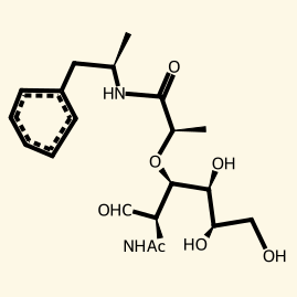 CC(=O)N[C@@H](C=O)[C@@H](O[C@H](C)C(=O)N[C@H](C)Cc1ccccc1)[C@@H](O)[C@H](O)CO